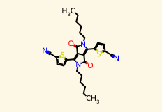 CCCCCCN1C(=O)C2=C(c3ccc(C#N)s3)N(CCCCCC)C(=O)C2=C1c1ccc(C#N)s1